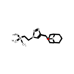 CCCC[N+](C)(C)CCn1cc(CCB2C3CCCC2CCC3)nn1